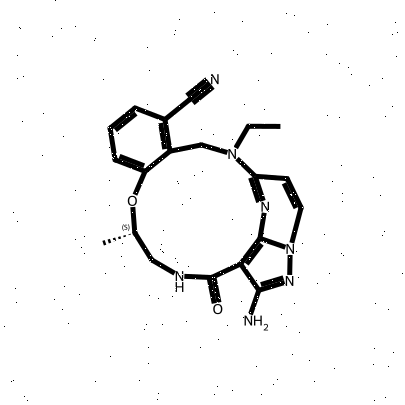 CCN1Cc2c(C#N)cccc2O[C@@H](C)CNC(=O)c2c(N)nn3ccc1nc23